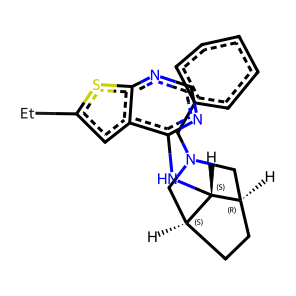 CCc1cc2c(N[C@@H]3[C@@H]4CC[C@H]3CN(Cc3ccccc3)C4)ncnc2s1